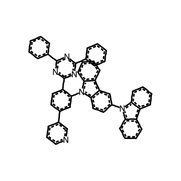 c1ccc(-c2nc(-c3ccccc3)nc(-c3ccc(-c4cccnc4)cc3-n3c4ccccc4c4cc(-n5c6ccccc6c6ccccc65)ccc43)n2)cc1